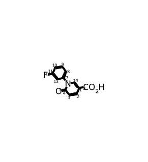 O=C(O)c1ccc(=O)n(-c2cccc(F)c2)c1